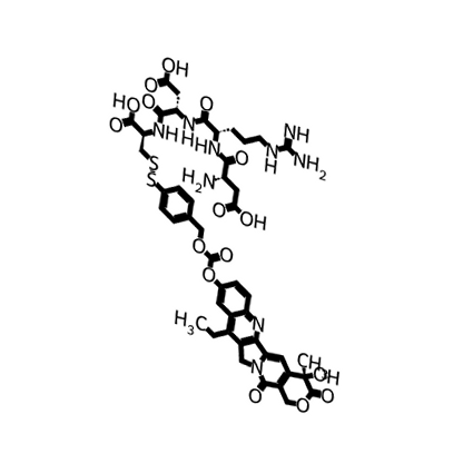 CCc1c2c(nc3ccc(OC(=O)OCc4ccc(SSC[C@H](NC(=O)[C@H](CC(=O)O)NC(=O)[C@H](CCCNC(=N)N)NC(=O)[C@@H](N)CC(=O)O)C(=O)O)cc4)cc13)-c1cc3c(c(=O)n1C2)COC(=O)[C@@]3(C)O